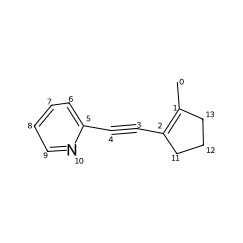 CC1=C(C#Cc2ccccn2)CCC1